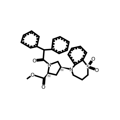 COC(=O)[C@@H]1C[C@H](N2CCCS(=O)(=O)c3ccccc32)CN1C(=O)C(c1ccccc1)c1ccccc1